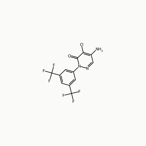 Nc1cnn(-c2cc(C(F)(F)F)cc(C(F)(F)F)c2)c(=O)c1Cl